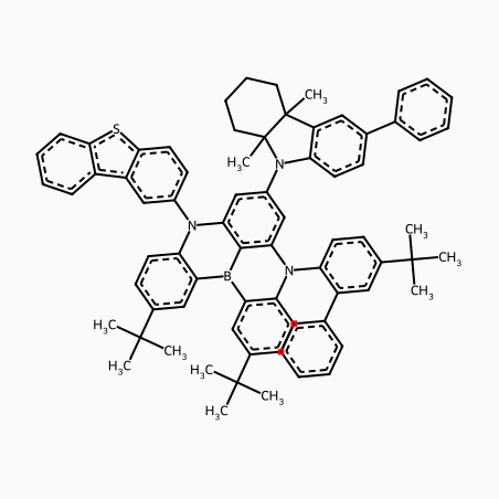 CC(C)(C)c1ccc2c(c1)B1c3cc(C(C)(C)C)ccc3N(c3ccc(C(C)(C)C)cc3-c3ccccc3)c3cc(N4c5ccc(-c6ccccc6)cc5C5(C)CCCCC45C)cc(c31)N2c1ccc2sc3ccccc3c2c1